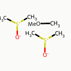 COC.C[S+](C)[O-].C[S+](C)[O-]